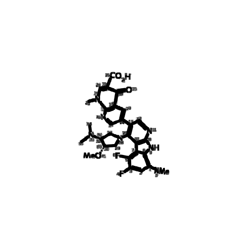 CNc1cc(F)c(F)c2c1[nH]c1ncc(-c3cnc4c(c3)c(=O)c(C(=O)O)cn4C)c(N3C[C@H](OC)[C@@H](N(C)C)C3)c12